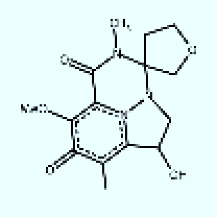 COc1c2n3c(c(I)c1=O)C(O)CN3C1(CCOC1)N(C)C2=O